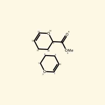 C1=COCCC1.COC(=O)C1CCC=CO1